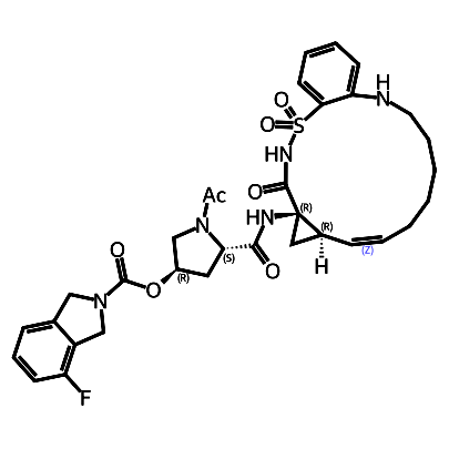 CC(=O)N1C[C@H](OC(=O)N2Cc3cccc(F)c3C2)C[C@H]1C(=O)N[C@]12C[C@@H]1/C=C\CCCCCNc1ccccc1S(=O)(=O)NC2=O